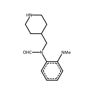 CNc1ccccc1N(C=O)CC1CCNCC1